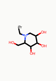 CC(C)CN1CC(O)C(O)C(O)C1CO